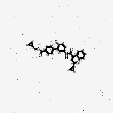 Cc1ccc(NC(=O)c2cc(C3CC3)nc3ccccc23)cc1-c1ccc(C(=O)NCC2CC2)cc1